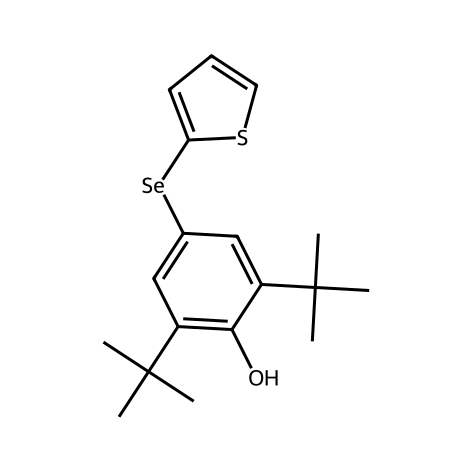 CC(C)(C)c1cc([Se]c2cccs2)cc(C(C)(C)C)c1O